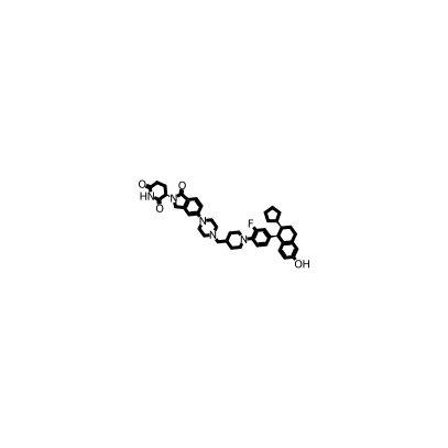 O=C1CC[C@H](N2Cc3cc(N4CCN(CC5CCN(c6ccc([C@@H]7c8ccc(O)cc8CC[C@@H]7C7CCCC7)cc6F)CC5)CC4)ccc3C2=O)C(=O)N1